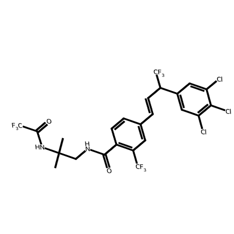 CC(C)(CNC(=O)c1ccc(/C=C/C(c2cc(Cl)c(Cl)c(Cl)c2)C(F)(F)F)cc1C(F)(F)F)NC(=O)C(F)(F)F